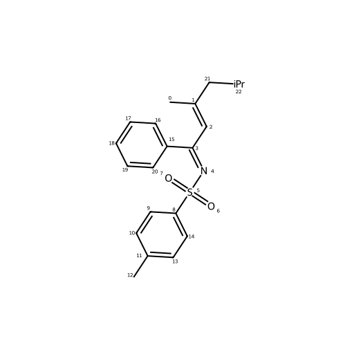 C/C(=C\C(=N\S(=O)(=O)c1ccc(C)cc1)c1ccccc1)CC(C)C